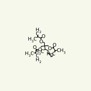 C=C(C)C(=O)OCC(COC(=O)C(=C)C)(COC(=O)C(=C)C)C(C)CC=O